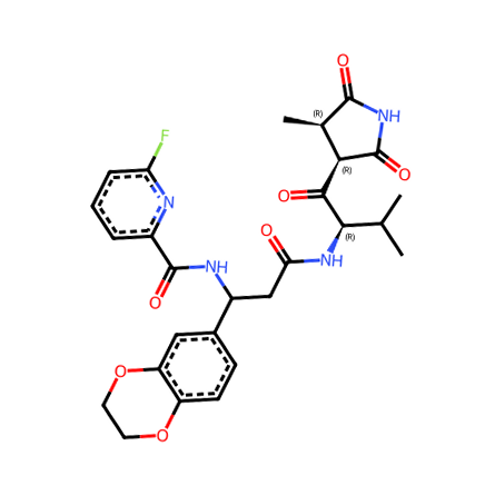 CC(C)[C@@H](NC(=O)CC(NC(=O)c1cccc(F)n1)c1ccc2c(c1)OCCO2)C(=O)[C@@H]1C(=O)NC(=O)[C@@H]1C